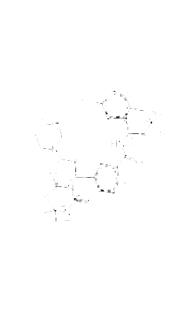 CCC1(CC)CC(=O)N(C(CCN2CCOCC2)c2cccc(C(=O)NC3CC(C)(C)Oc4ccc(F)cc43)c2)C(=N)N1